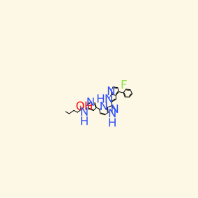 CCCCC(O)Nc1cncc(-c2ccc3[nH]nc(-c4cc5c(-c6ccccc6F)ccnc5[nH]4)c3n2)c1